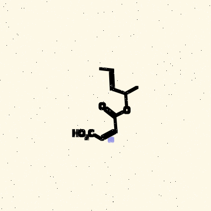 CC=CC(C)OC(=O)/C=C\C(=O)O